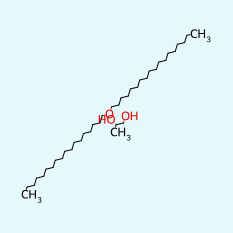 CC(O)CO.CCCCCCCCCCCCCCCCCCOCCCCCCCCCCCCCCCCCC